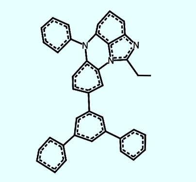 CCc1nc2cccc3c2n1-c1cc(-c2cc(-c4ccccc4)cc(-c4ccccc4)c2)ccc1N3c1ccccc1